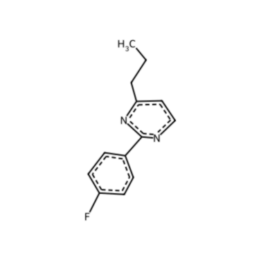 CCCc1ccnc(-c2ccc(F)cc2)n1